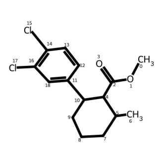 COC(=O)C1C(C)CCCC1c1ccc(Cl)c(Cl)c1